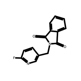 O=C1c2ccccc2C(=O)N1Cc1ccc(F)nc1